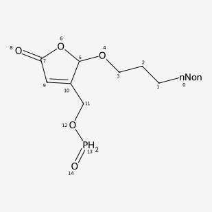 CCCCCCCCCCCCOC1OC(=O)C=C1CO[PH2]=O